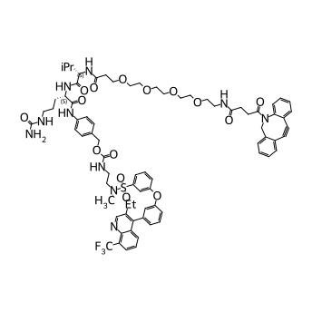 CCc1cnc2c(C(F)(F)F)cccc2c1-c1cccc(Oc2cccc(S(=O)(=O)N(C)CCNC(=O)OCc3ccc(NC(=O)[C@H](CCCNC(N)=O)NC(=O)[C@@H](NC(=O)CCOCCOCCOCCOCCNC(=O)CCC(=O)N4Cc5ccccc5C#Cc5ccccc54)C(C)C)cc3)c2)c1